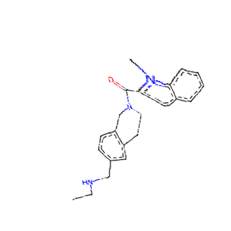 CCNCc1ccc2c(c1)CCN(C(=O)c1cc3ccccc3n1C)C2